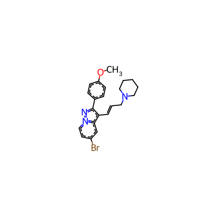 COc1ccc(-c2nn3ccc(Br)cc3c2C=CCN2CCCCC2)cc1